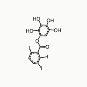 O=C(Oc1cc(O)c(O)c(O)c1O)c1c(I)ccc(I)c1I